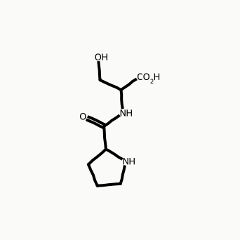 O=C(O)C(CO)NC(=O)C1CCCN1